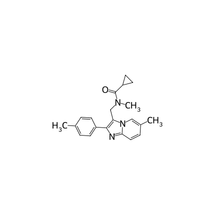 Cc1ccc(-c2nc3ccc(C)cn3c2CN(C)C(=O)C2CC2)cc1